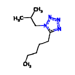 CCCCCc1nnnn1CC(C)C